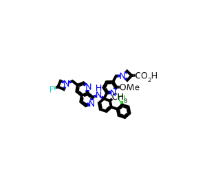 COc1nc(C2(Nc3nccc4cc(CN5CC(F)C5)cnc34)C=CC=C(c3ccccc3Cl)C2C)ccc1CN1CC(C(=O)O)C1